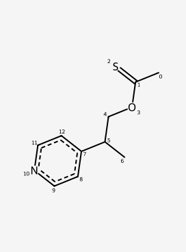 CC(=S)OCC(C)c1ccncc1